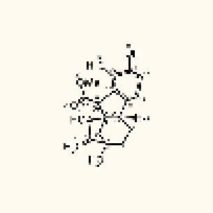 C=C1C(O)[C@]23C[C@@]1(O)CC[C@H]2c1ccc(O)c(C)c1[C@@H]3C(=O)OC